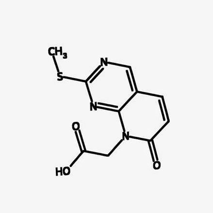 CSc1ncc2ccc(=O)n(CC(=O)O)c2n1